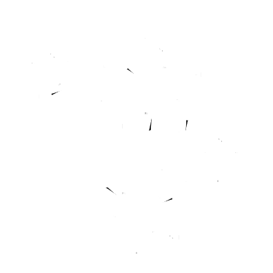 CC(=O)N[C@@H]1C(O)[C@H](O[C@@H]2O[C@H](CO)[C@@H](O)C(O)[C@H]2N)[C@H](CO)O[C@H]1O[C@H]1C(O)[C@@H](NC(C)=O)[C@H](O[C@H]2C(O)[C@@H](NC(C)=O)[C@H](O)O[C@H]2CO)O[C@@H]1CO